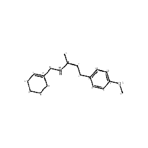 COc1ccc(CCC(C)NCC2=CCCCC2)cc1